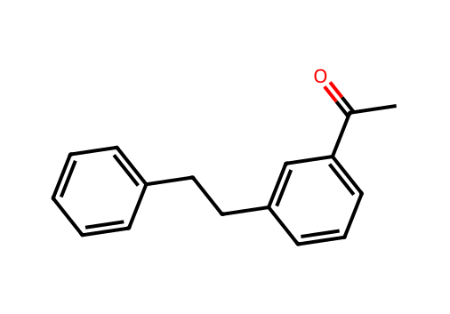 CC(=O)c1cccc(CCc2ccccc2)c1